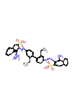 CCc1cc(/N=N/c2c(S(=O)(=O)O)cc3ccccc3c2N)ccc1-c1ccc(/N=N/c2c(S(=O)(=O)O)cc3ccccc3c2N)cc1CC